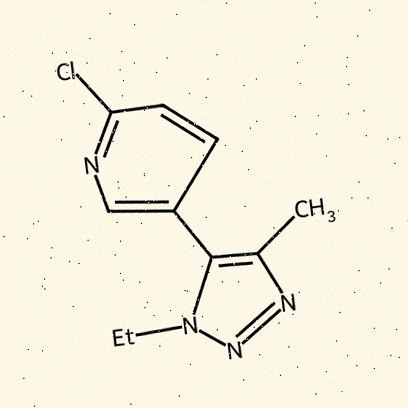 CCn1nnc(C)c1-c1ccc(Cl)nc1